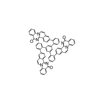 O=c1nc2c3ccc(-c4ccccc4-c4cc(-c5ccccc5-c5ccc6c(ccn7c8ccccc8c(=O)nc67)c5)cc(-c5ccccc5-c5ccc6c(ccn7c8ccccc8c(=O)nc67)c5)c4)cc3ccn2c2ccccc12